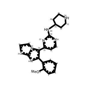 COc1ccccc1-c1nc2sccn2c1-c1ccnc(NC2CCNCC2)n1